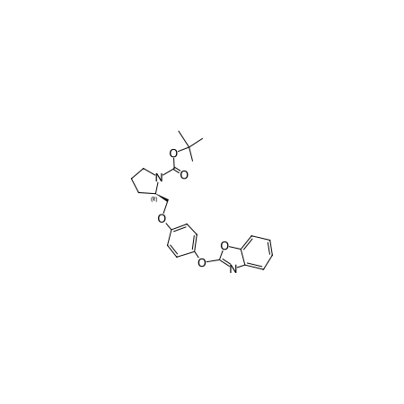 CC(C)(C)OC(=O)N1CCC[C@@H]1COc1ccc(Oc2nc3ccccc3o2)cc1